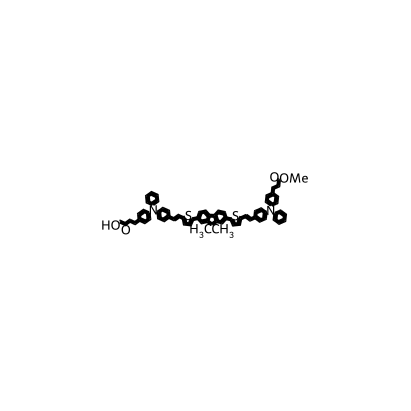 COC(=O)CCc1ccc(N(c2ccccc2)c2ccc(/C=C/c3ccc(-c4ccc5c(c4)C(C)(C)c4cc(-c6ccc(/C=C/c7ccc(N(c8ccccc8)c8ccc(CCC(=O)CO)cc8)cc7)s6)ccc4-5)s3)cc2)cc1